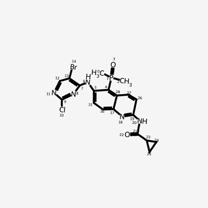 CP(C)(=O)c1c(Nc2nc(Cl)ncc2Br)ccc2nc(NC(=O)C3CC3)ccc12